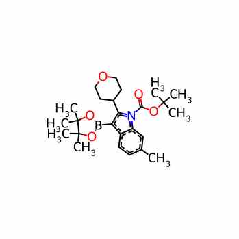 Cc1ccc2c(B3OC(C)(C)C(C)(C)O3)c(C3CCOCC3)n(C(=O)OC(C)(C)C)c2c1